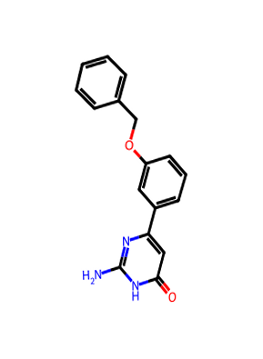 Nc1nc(-c2cccc(OCc3ccccc3)c2)cc(=O)[nH]1